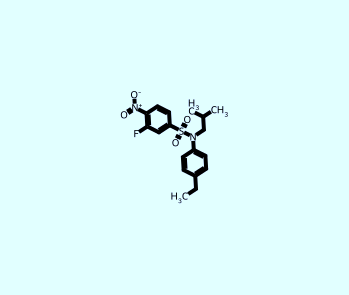 CCc1ccc(N(CC(C)C)S(=O)(=O)c2ccc([N+](=O)[O-])c(F)c2)cc1